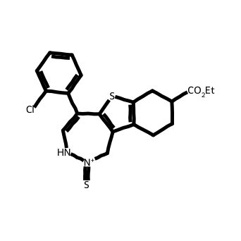 CCOC(=O)C1CCc2c(sc3c2C[N+](=S)NC=C3c2ccccc2Cl)C1